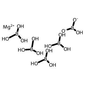 OB(O)O.OB(O)O.OB(O)O.OB(O)O.[Mg+2].[O-]B([O-])O